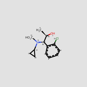 C[C@@H](O)[C@@H](c1ccccc1Cl)N(C(=O)O)C1CC1